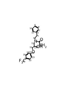 NC(=O)N(CCc1ccccc1)CC(O)COc1ccc(C(F)(F)F)cc1